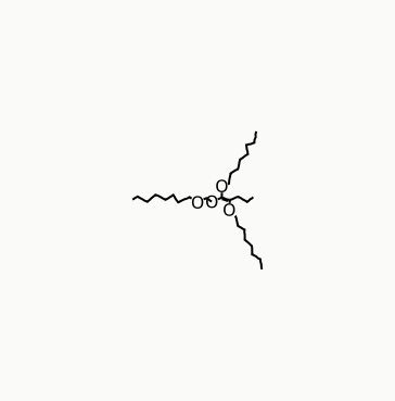 CCCCCCCCOCOC(OCCCCCCCC)=C(CCC)OCCCCCCCC